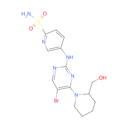 NS(=O)(=O)c1ccc(Nc2ncc(Br)c(N3CCCCC3CO)n2)cn1